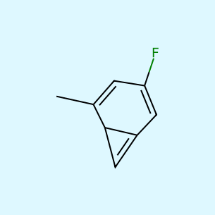 CC1=CC(F)=CC2=CC12